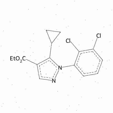 CCOC(=O)c1cnn(-c2cccc(Cl)c2Cl)c1C1CC1